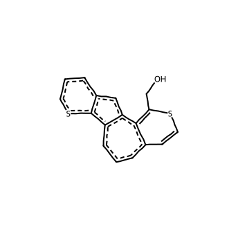 OCC1=c2c(cccc3c2cc2cccsc23)C=CS1